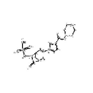 O=C(NC1CCNCC1)c1ccn(C2=CC3CN(C2)C(=O)N3OS(=O)(=O)O)n1